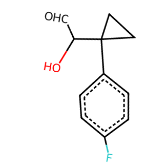 O=CC(O)C1(c2ccc(F)cc2)CC1